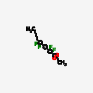 CCCCCCCc1ccc(-c2ccc(-c3ccc(C4COC(CCC)OC4)c(F)c3F)cc2)c(F)c1F